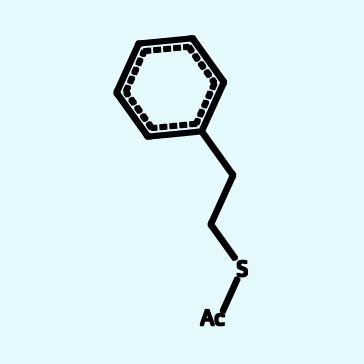 CC(=O)SCCc1ccccc1